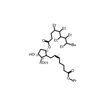 CCCCCCCC[C@@H]1C(C/C=C\CCCC(=O)OC(C)C)[C@@H](OC(=O)CCC(CC)C(CC)C(CC)C(CC)C(CC)C(C)CC)C[C@H]1O